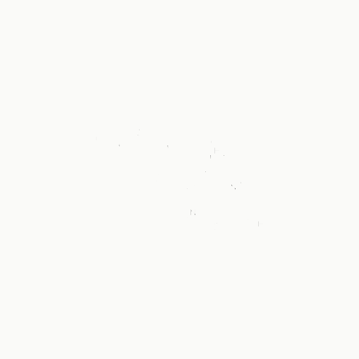 Cc1cnc(-c2ccc(F)cc2)c(C)n1